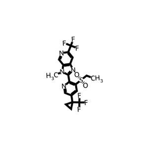 CCS(=O)(=O)c1cc(C2(C(F)(F)F)CC2)cnc1-c1nc2cc(C(F)(F)F)ncc2n1C